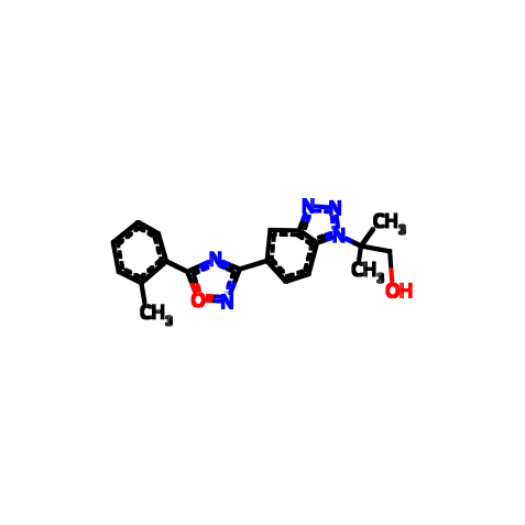 Cc1ccccc1-c1nc(-c2ccc3c(c2)nnn3C(C)(C)CO)no1